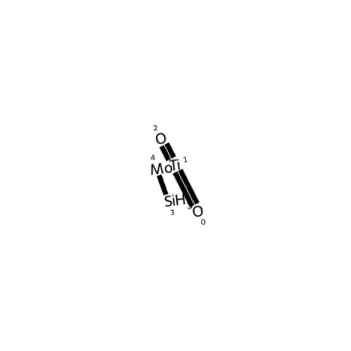 [O]=[Ti]=[O].[SiH3][Mo]